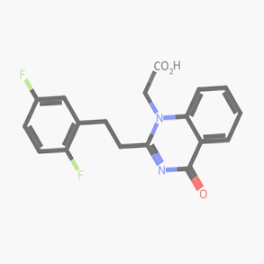 O=C(O)Cn1c(CCc2cc(F)ccc2F)nc(=O)c2ccccc21